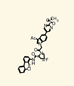 CC(=O)c1cn(CC(=O)N2C[C@H](F)C[C@H]2C(=O)Nc2cccc(-c3ccccc3Cl)c2F)c2ccc(-c3cnc(S(C)(=O)=O)nc3)cc12